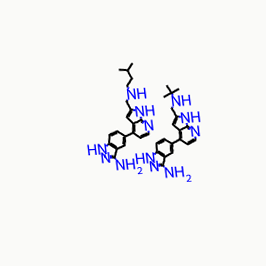 CC(C)(C)NCc1cc2c(-c3ccc4[nH]nc(N)c4c3)ccnc2[nH]1.CC(C)CCNCc1cc2c(-c3ccc4[nH]nc(N)c4c3)ccnc2[nH]1